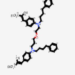 CCOC(=O)/C(C#N)=C/c1ccc(N(CCCCc2ccccc2)CCCOCCN(CCCCc2ccccc2)c2ccc(/C=C(\C#N)C(=O)OCC)cc2)cc1